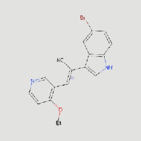 CCOc1ccncc1/C=C(\C#N)c1c[nH]c2ccc(Br)cc12